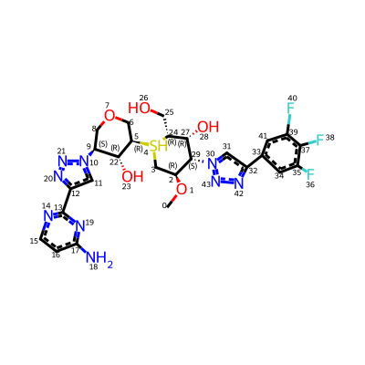 CO[C@H]1C[SH]([C@@H]2COC[C@H](n3cc(-c4nccc(N)n4)nn3)[C@H]2O)[C@H](CO)[C@H](O)[C@@H]1n1cc(-c2cc(F)c(F)c(F)c2)nn1